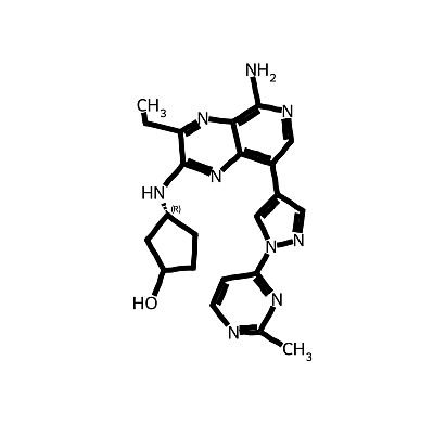 CCc1nc2c(N)ncc(-c3cnn(-c4ccnc(C)n4)c3)c2nc1N[C@@H]1CCC(O)C1